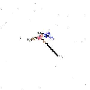 CCCCCCCCCCCCCCSSCCOP(=O)(CO[C@H](C)Cn1cnc2c(N)ncnc21)OCCSSC